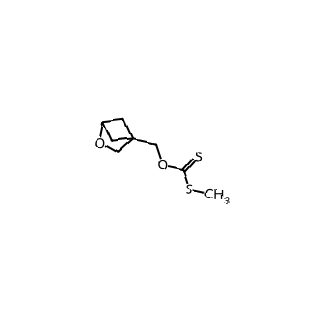 CSC(=S)OCC12COC(C1)C2